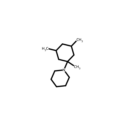 CC1CC(C)CC(C)(N2CCCCC2)C1